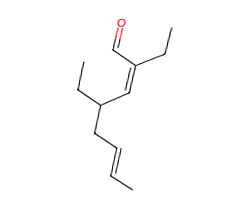 CC=CCC(C=C(C=O)CC)CC